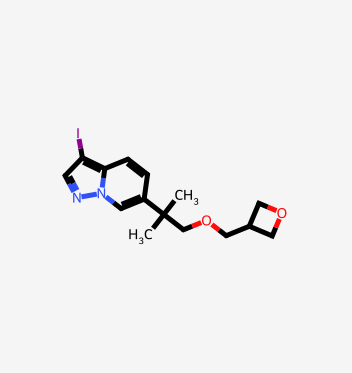 CC(C)(COCC1COC1)c1ccc2c(I)cnn2c1